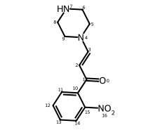 O=C(C=CN1CCNCC1)c1ccccc1[N+](=O)[O-]